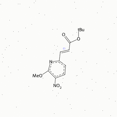 COc1nc(/C=C/C(=O)OC(C)(C)C)ccc1[N+](=O)[O-]